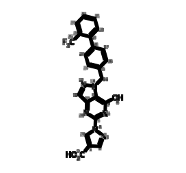 O=C(O)c1cnn(-c2nc(O)c3c(cnn3Cc3ccc(-c4ccccc4C(F)(F)F)cc3)n2)c1